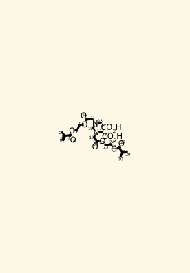 C=C(C)C(=O)OCCOC(=O)CN(CC(=O)O)CN(CC(=O)O)CC(=O)OCCOC(=O)C(=C)C